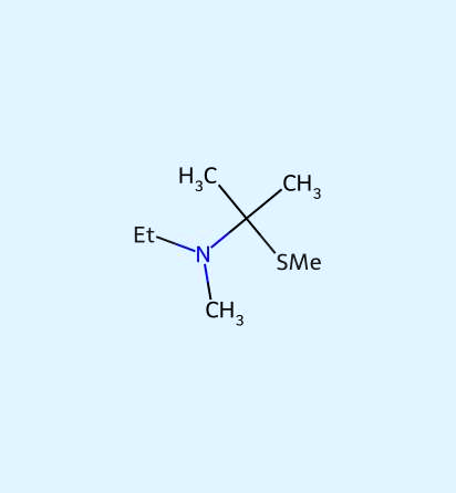 CCN(C)C(C)(C)SC